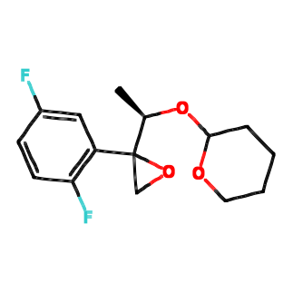 C[C@@H](OC1CCCCO1)C1(c2cc(F)ccc2F)CO1